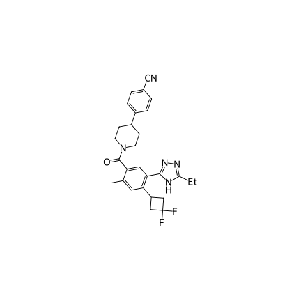 CCc1nnc(-c2cc(C(=O)N3CCC(c4ccc(C#N)cc4)CC3)c(C)cc2C2CC(F)(F)C2)[nH]1